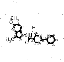 COc1ccc2c(n1)c(C)cn2NC(=O)c1cnc(-c2ccccn2)nc1C